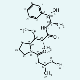 COC([C@@H](C)C(=O)N[C@H](C)[C@@H](O)c1ccccc1)[C@@H]1CCCN1C(=O)C[C@H](C)OC